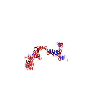 CCC(C)[C@H](NC(=O)CCCCCN1C(=O)CC(C(C)(C)C)C1=O)C(=O)C[C@@H](CCCNC(N)=O)C(=O)Nc1ccc(COC(=O)NCCCC(=O)CCC(C)(C)SSC/C=C2/C3=C(CC(C)=O)C(=O)C[C@@]2(O)C#C/C=C\C#C[C@@H]3OC2OC(C)C(NOC3CC(O)C(SC(=O)c4c(C)c(I)c(OC5OC(C)C(O)C(OC)C5O)c(C)c4OC)C(C)O3)C(O)C2OC2CC(C)C(CC(C)=O)CO2)cc1